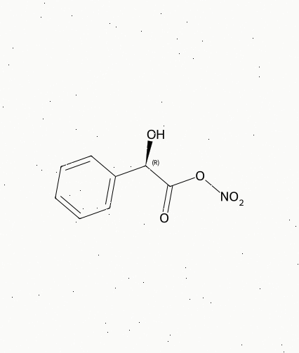 O=C(O[N+](=O)[O-])[C@H](O)c1ccccc1